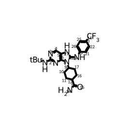 CC(C)(C)Nc1ncc2c(n1)N(C1CCC(C(N)=O)CC1)C(Nc1ccc(C(F)(F)F)cc1)N2